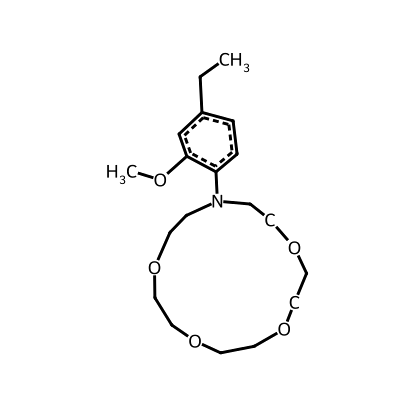 CCc1ccc(N2CCOCCOCCOCCOCC2)c(OC)c1